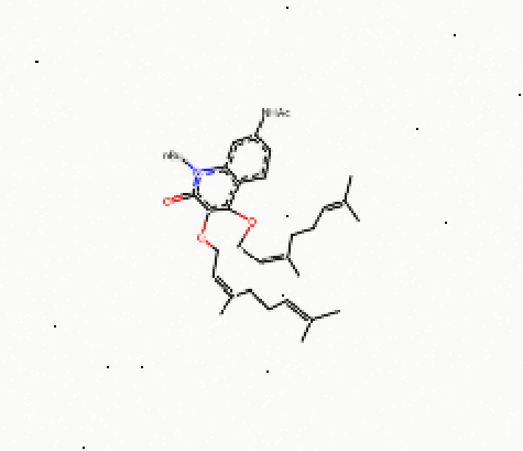 CCCCn1c(=O)c(OCC=C(C)CCC=C(C)C)c(OCC=C(C)CCC=C(C)C)c2ccc(NC(C)=O)cc21